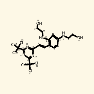 OCCNc1ccc(C=Cc2nc(C(Cl)(Cl)Cl)nc(C(Cl)(Cl)Cl)n2)c(NCCO)c1